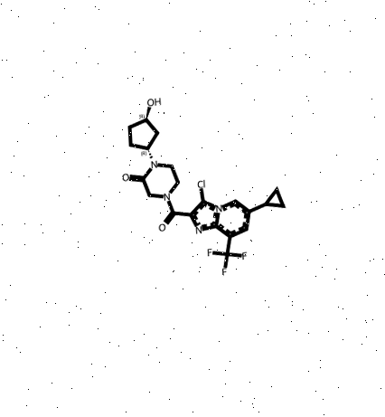 O=C(c1nc2c(C(F)(F)F)cc(C3CC3)cn2c1Cl)N1CCN([C@@H]2CC[C@@H](O)C2)C(=O)C1